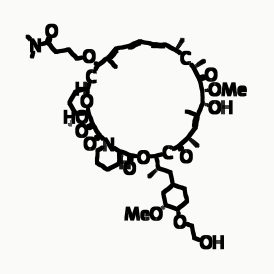 CO[C@@H]1CC(C[C@@H](C)C2CC(=O)[C@H](C)/C=C(\C)[C@@H](O)[C@@H](OC)C(=O)[C@H](C)C[C@H](C)/C=C/C=C/C=C(\C)C(OCCCC(=O)N(C)C)C[C@@H]3CC[C@@H](C)[C@@](O)(O3)C(=O)C(=O)N3CCCC[C@H]3C(=O)O2)CC[C@H]1OCCO